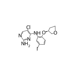 Nc1ncc(Cl)c(Nc2cc(I)ccc2O[C@H]2CCOC2)n1